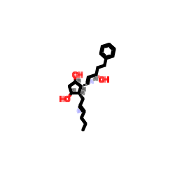 CCC/C=C/C[C@@H]1[C@@H](/C=C/[C@@H](O)CCc2ccccc2)[C@H](O)C[C@@H]1O